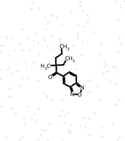 CCCC(C)(CC)C(=O)c1ccc2nonc2c1